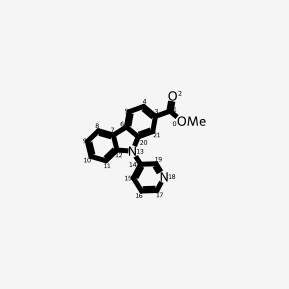 COC(=O)c1ccc2c3ccccc3n(-c3cccnc3)c2c1